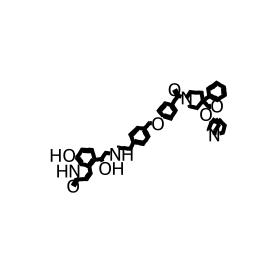 O=C(c1ccc(OCc2ccc(CCNCC(O)c3ccc(O)c4[nH]c(=O)ccc34)cc2)cc1)N1CCC(C(=O)OC2CN3CCC2CC3)(c2ccccc2)CC1